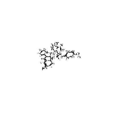 C=Nc1c(/C(=N\C)NC(C)c2nc3ccc(F)cc3cc2-c2ccccn2)c(=O)ccn1Cc1ccc(OC)cc1